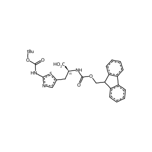 CC(C)(C)OC(=O)Nc1ncc(C[C@H](NC(=O)OCC2c3ccccc3-c3ccccc32)C(=O)O)s1